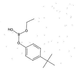 CCOB(O)Oc1ccc(C(C)(C)C)cc1